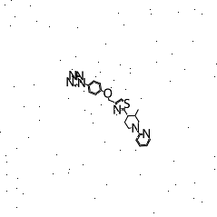 CC1CN(c2ccccn2)CCC1c1nc(COc2ccc(-n3cnnn3)cc2)cs1